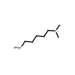 [CH2]P(C)CCCCCCCCCC